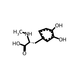 CN[C@H](Cc1ccc(O)c(O)c1)C(=O)O